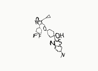 N#Cc1ccc2nc(C3(O)CCC(OCc4c(C5CCC(F)(F)CC5)noc4C4CC4)CC3)sc2c1